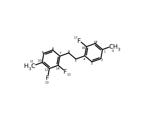 Cc1ccc(CCc2ccc(C)c(F)c2F)c(F)c1